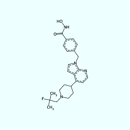 CC(C)(F)CN1CCC(c2ccnc3c2ccn3Cc2ccc(C(=O)NO)cc2)CC1